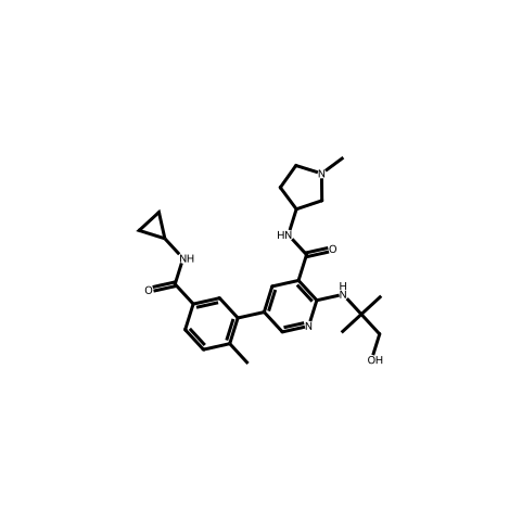 Cc1ccc(C(=O)NC2CC2)cc1-c1cnc(NC(C)(C)CO)c(C(=O)NC2CCN(C)C2)c1